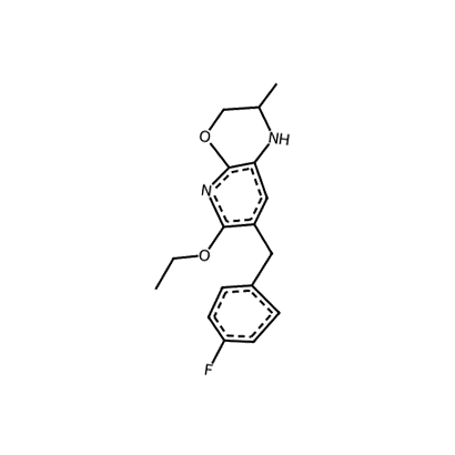 CCOc1nc2c(cc1Cc1ccc(F)cc1)NC(C)CO2